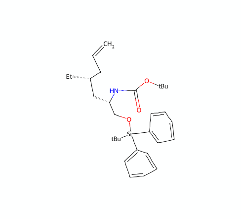 C=CC[C@@H](CC)C[C@@H](CO[Si](c1ccccc1)(c1ccccc1)C(C)(C)C)NC(=O)OC(C)(C)C